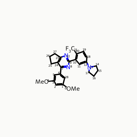 COc1cc(OC)cc(-c2nc(-c3cc(N4CCCC4)ccc3C(F)(F)F)nc3c2CCC3)c1